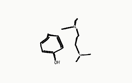 CN(C)CCN(C)C.Oc1ccccc1